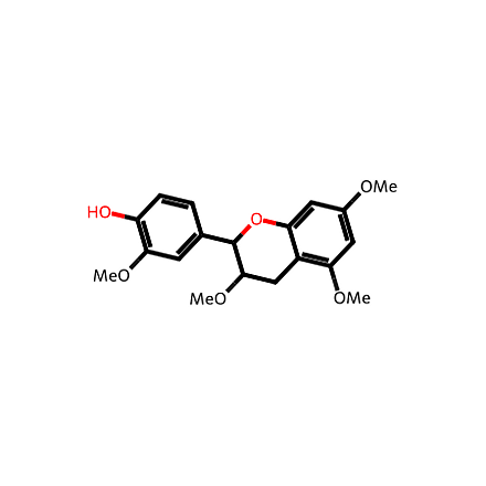 COc1cc(OC)c2c(c1)OC(c1ccc(O)c(OC)c1)C(OC)C2